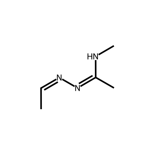 C/C=N\N=C(\C)NC